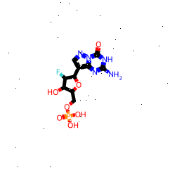 Nc1nc2c(C3OC(COP(=O)(O)O)C(O)C3F)cnn2c(=O)[nH]1